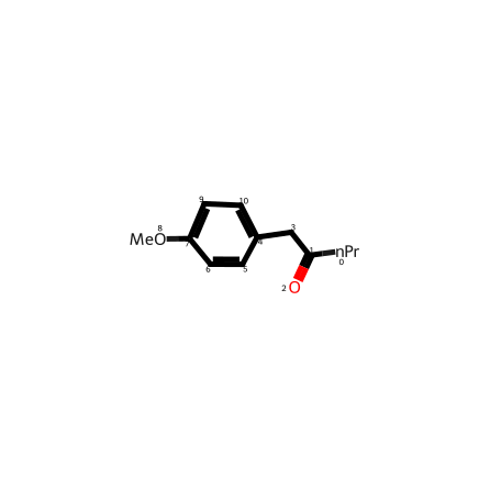 CCCC(=O)Cc1ccc(OC)cc1